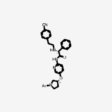 CC(=O)N1CC[C@@H](Oc2ccc(NC(=O)[C@H](NCCc3ccc(C#N)cc3)c3ccccc3)nc2)C1